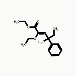 CCOC(=O)C(=CC(C)(CC)c1ccccc1)OCC